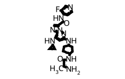 C[C@@H](N)C(=O)NC1CCC(Nc2cc(NC3CC3)c3ncc(C(=O)Nc4ccncc4F)n3n2)CC1